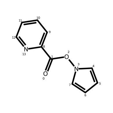 O=C(On1cccc1)c1ccccn1